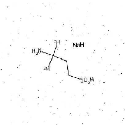 [2H]C([2H])(N)CCS(=O)(=O)O.[NaH]